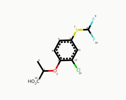 CC(Oc1ccc(SC(F)F)cc1Cl)C(=O)O